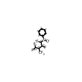 [O-][S+](c1ccccc1)C(F)C(F)C(C(F)F)C(F)(F)F